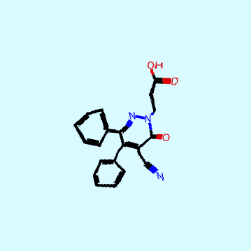 N#Cc1c(-c2ccccc2)c(-c2ccccc2)nn(CCC(=O)O)c1=O